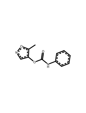 Cc1oncc1OC(=O)Nc1ccccc1